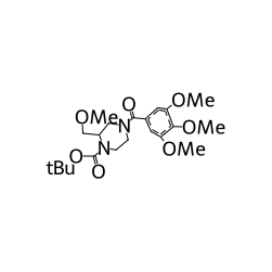 COCC1CN(C(=O)c2cc(OC)c(OC)c(OC)c2)CCN1C(=O)OC(C)(C)C